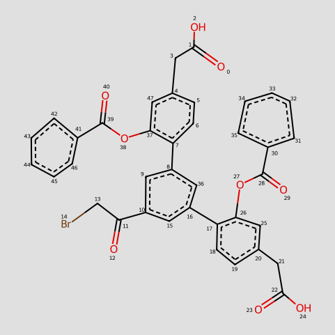 O=C(O)Cc1ccc(-c2cc(C(=O)CBr)cc(-c3ccc(CC(=O)O)cc3OC(=O)c3ccccc3)c2)c(OC(=O)c2ccccc2)c1